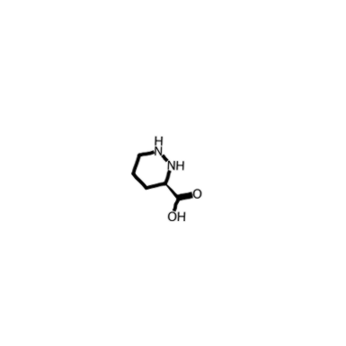 O=C(O)[C@H]1CCCNN1